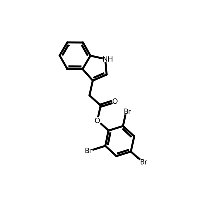 O=C(Cc1c[nH]c2ccccc12)Oc1c(Br)cc(Br)cc1Br